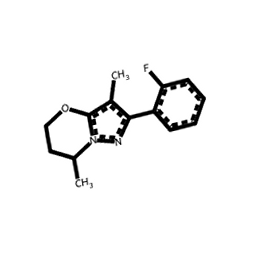 Cc1c(-c2ccccc2F)nn2c1OCCC2C